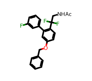 CC(=O)NCC(F)(F)c1ccc(OCc2ccccc2)cc1-c1cccc(F)c1